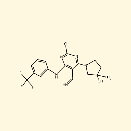 CC1(O)CCN(c2nc(Cl)nc(Nc3cccc(C(F)(F)F)c3)c2C=N)C1